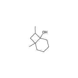 CC1CC2(C)CCCCC12O